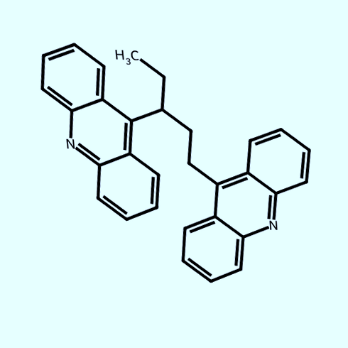 CCC(CCc1c2ccccc2nc2ccccc12)c1c2ccccc2nc2ccccc12